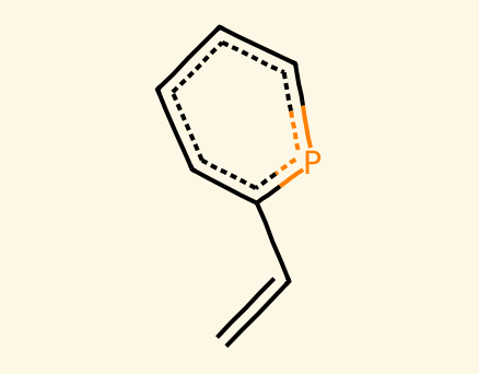 C=Cc1ccccp1